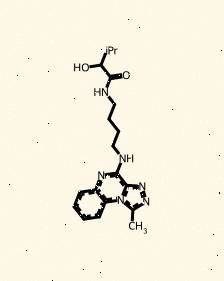 Cc1nnc2c(NCCCCNC(=O)C(O)C(C)C)nc3ccccc3n12